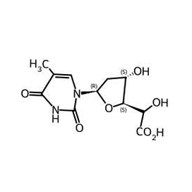 Cc1cn([C@H]2C[C@H](O)[C@@H](C(O)C(=O)O)O2)c(=O)[nH]c1=O